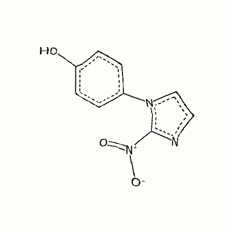 O=[N+]([O-])c1nccn1-c1ccc(O)cc1